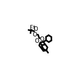 CCC(C)(C)C(=O)OCC(=O)OC1(C2CCCCC2)C2CC3CC1CC(C)(C3)C2